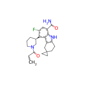 C=CC(=O)N1CCC[C@@H](c2c(F)cc(C(N)=O)c3[nH]c4c(c23)CC2(CC4)CC2)C1